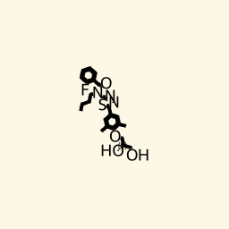 CCCCN(C(=O)c1ccccc1F)c1nnc(-c2cc(C)c(OC[C@@H](O)CO)c(C)c2)s1